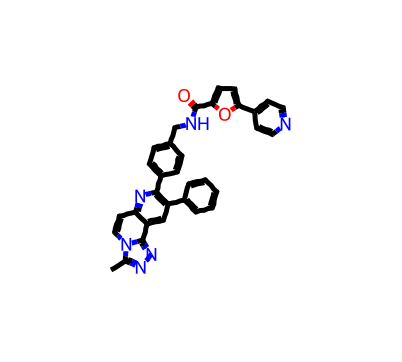 Cc1nnc2c3cc(-c4ccccc4)c(-c4ccc(CNC(=O)c5ccc(-c6ccncc6)o5)cc4)nc3ccn12